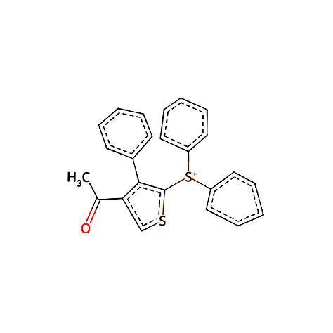 CC(=O)c1csc([S+](c2ccccc2)c2ccccc2)c1-c1ccccc1